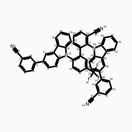 N#Cc1cccc(-c2ccc3c(c2)c2ccccc2n3-c2ccc(C(F)(F)F)cc2-c2cccc(C#N)c2-n2c3ccccc3c3cc(-c4cccc(C#N)c4)ccc32)c1